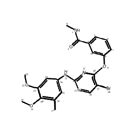 CNC(=O)c1cccc(Oc2nc(Nc3cc(C)c(OC)c(OC)c3)ncc2Br)c1